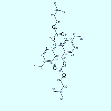 CCc1ccc2c(OC(=O)OCCC(C)C)c3cc(CC)ccc3c(OC(=O)OCCC(C)C)c2c1